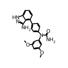 COc1cc(OC)cc(N(C(N)=O)c2ccc(-c3cccc4[nH]nc(N)c34)cc2)c1